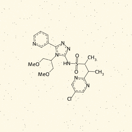 COCC(COC)n1c(NS(=O)(=O)C(C)C(C)c2ncc(Cl)cn2)nnc1-c1cccnc1